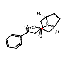 O=C(C[C@H]1C[C@H]2CC[C@@H](C1)N2C(=O)O)c1ccccc1